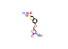 CC(C)(C)N1CC(COc2ccc3cc(S(N)(=O)=O)sc3c2)OC1=O